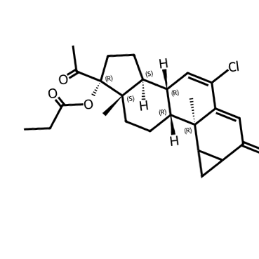 CCC(=O)O[C@]1(C(C)=O)CC[C@H]2[C@@H]3C=C(Cl)C4=CC(=O)C5CC5[C@@]4(C)[C@@H]3CC[C@@]21C